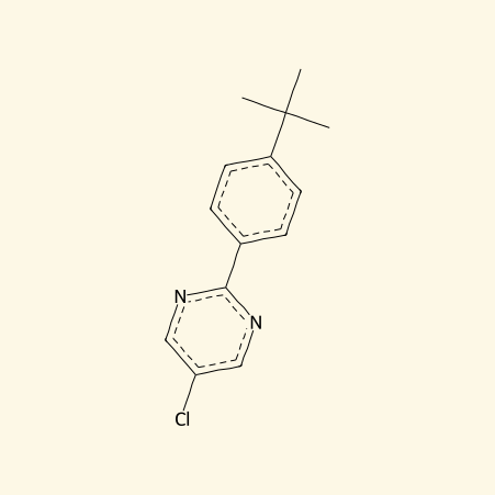 CC(C)(C)c1ccc(-c2ncc(Cl)cn2)cc1